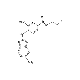 COc1cc(C(=O)NCCF)ccc1Nc1nc2ccc(C)cn2n1